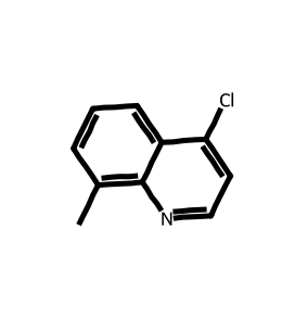 Cc1cccc2c(Cl)ccnc12